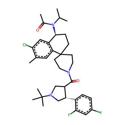 CC(=O)N(C(C)C)[C@H]1CCC2(CCN(C(=O)C3CN(C(C)(C)C)C[C@H]3c3ccc(F)cc3F)CC2)c2cc(C)c(Cl)cc21